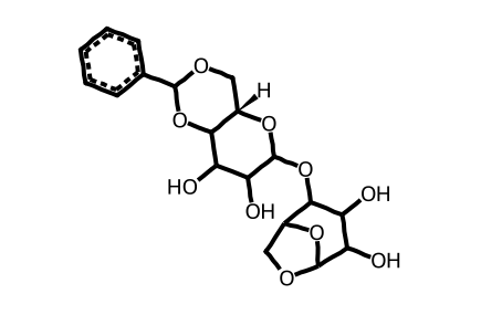 OC1C2OCC(O2)C(OC2O[C@H]3COC(c4ccccc4)OC3C(O)C2O)C1O